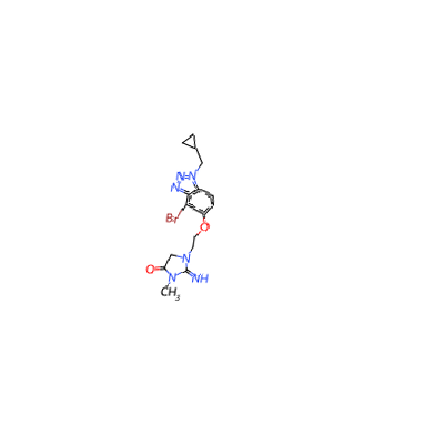 CN1C(=N)N(CCOc2ccc3c(nnn3CC3CC3)c2Br)CC1=O